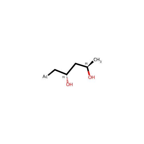 CC(=O)C[C@@H](O)C[C@@H](C)O